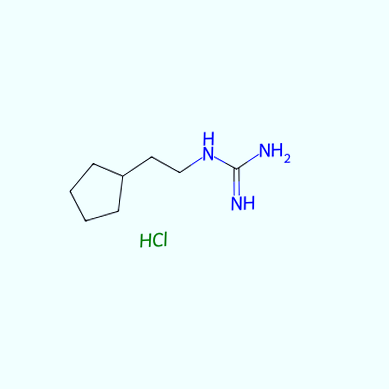 Cl.N=C(N)NCCC1CCCC1